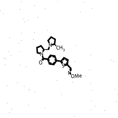 CON=Cc1ccc(-c2ccc(C(=O)N3CCC[C@H]3CN3CCC[C@H]3C)cc2)s1